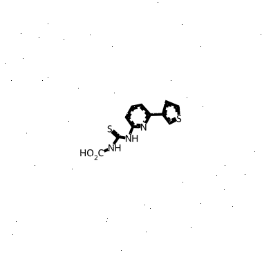 O=C(O)NC(=S)Nc1cccc(-c2ccsc2)n1